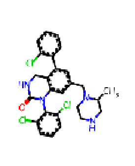 CC1CNCCN1Cc1cc(-c2ccccc2Cl)c2c(c1)N(c1c(Cl)cccc1Cl)C(=O)NC2